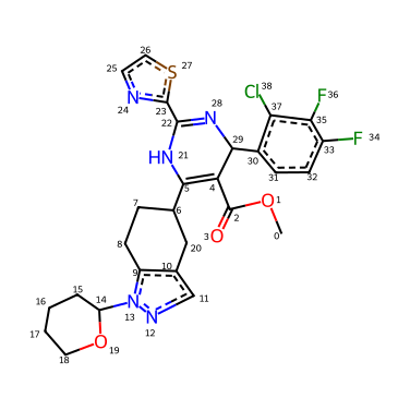 COC(=O)C1=C(C2CCc3c(cnn3C3CCCCO3)C2)NC(c2nccs2)=NC1c1ccc(F)c(F)c1Cl